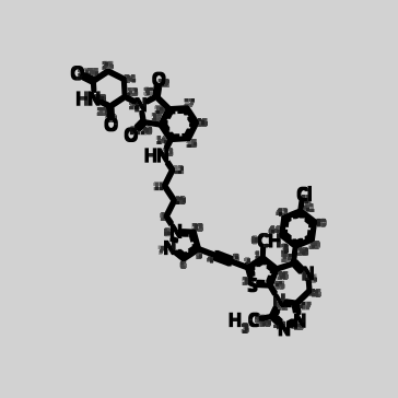 Cc1c(C#Cc2cnn(CCCCNc3cccc4c3C(=O)N(C3CCC(=O)NC3=O)C4=O)c2)sc2c1C(c1ccc(Cl)cc1)=NCc1nnc(C)n1-2